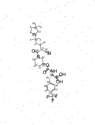 CC(CC(C)(C)N1CCC(C)(C)C1)C(C#N)C(=O)N1CCC[C@H](OC(=O)N[C@@H](Cc2ccc(C(F)(F)F)cc2)B(O)O)C1